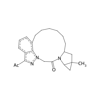 CC(=O)c1nn2c3c(cccc13)CCCCCCC1CC3(C)CC3N1C(=O)C2